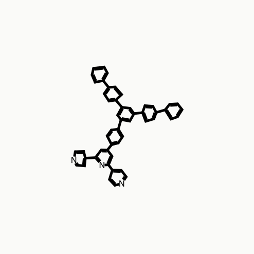 c1ccc(-c2ccc(-c3cc(-c4ccc(-c5ccccc5)cc4)cc(-c4ccc(-c5cc(-c6ccncc6)nc(-c6ccncc6)c5)cc4)c3)cc2)cc1